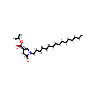 CCCCCCCCCCCCCCCCN1CC(C(=O)OC(C)C)CC1=O